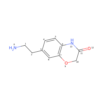 NCCc1ccc2c(c1)OCC(=O)N2